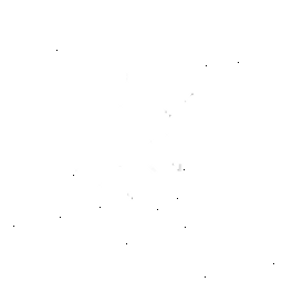 CN(CC(=S)N[C@H]1CCS[C@@]2(C)CC(C)(C)[C@@H](C(=O)O)N2C1=O)C(=O)OC(C)(C)C